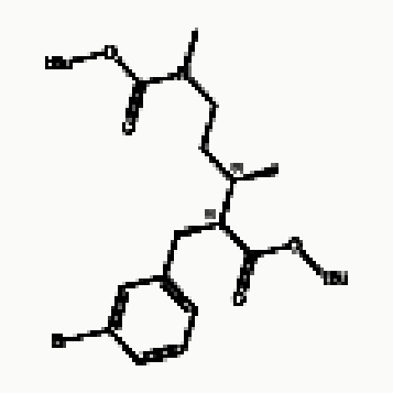 C[C@H](CCN(C)C(=O)OC(C)(C)C)[C@H](Cc1cccc(Br)c1)C(=O)OC(C)(C)C